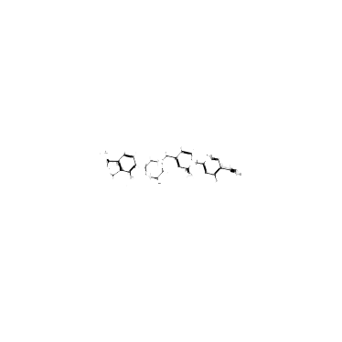 Cc1cc(-n2ccc(CN3C[C@@H](c4ccc5c(c4C)COC5=O)N[C@@H](C)C3)cc2=O)ncc1C#N